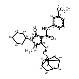 CCOC(=O)c1cccc(NC(=O)c2c(COC34CC5CC(CC(C5)C3)C4)n(C)n(C3CCCCC3)c2=O)c1